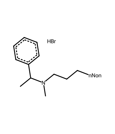 Br.CCCCCCCCCCCCN(C)C(C)c1ccccc1